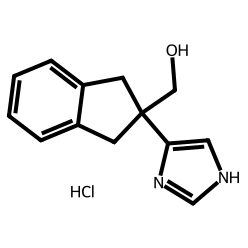 Cl.OCC1(c2c[nH]cn2)Cc2ccccc2C1